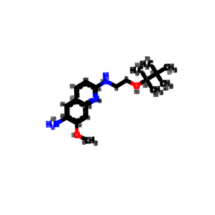 COc1cc2nc(NCCO[Si](C)(C)C(C)(C)C)ccc2cc1N